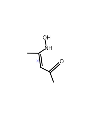 CC(=O)/C=C(/C)NO